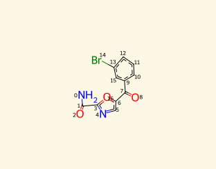 NC(=O)c1ncc(C(=O)c2cccc(Br)c2)o1